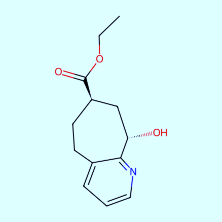 CCOC(=O)[C@@H]1CCc2cccnc2[C@@H](O)C1